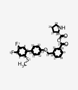 CSc1cc(F)c(F)cc1-c1ccc(OCc2cccc(C(=O)OC(=O)[C@@H]3CCCN3)c2)cc1